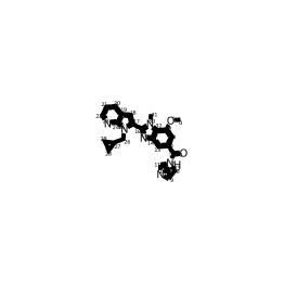 COc1cc(C(=O)N2CC3[C@H]4C2N34)cc2nc(-c3cc4cccnc4n3CC3CC3)n(C)c12